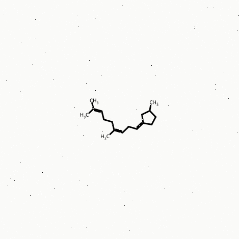 CC(C)=CCCC(C)=CCC=C1CCC(C)C1